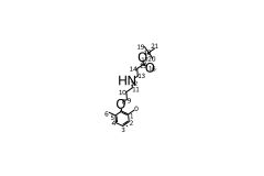 Cc1c[c]cc(C)c1OCCCNCCC(=O)OC(C)(C)C